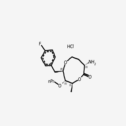 CCCO[C@H]1[C@H](C)OC(=O)[C@@H](N)CCO[C@@H]1Cc1ccc(F)cc1.Cl